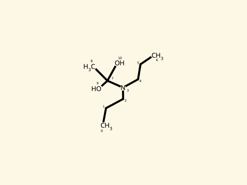 CCCN(CCC)C(C)(O)O